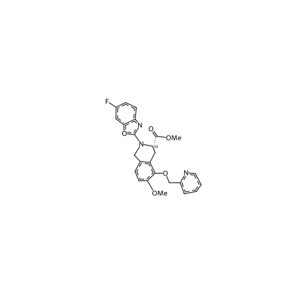 COC(=O)[C@@H]1Cc2c(ccc(OC)c2OCc2ccccn2)CN1c1nc2ccc(F)cc2o1